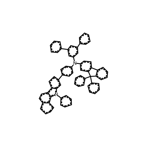 c1ccc(-c2cc(-c3ccccc3)cc(N(c3ccc(-c4ccc5c6ccc7ccccc7c6n(-c6ccccc6)c5c4)cc3)c3ccc4c(c3)C(c3ccccc3)(c3ccccc3)c3ccccc3-4)c2)cc1